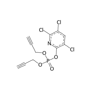 C#CCOP(=O)(OCC#C)Oc1nc(Cl)c(Cl)cc1Cl